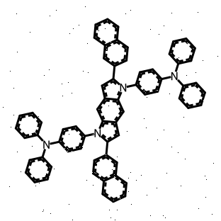 c1ccc(N(c2ccccc2)c2ccc(-n3c(-c4ccc5ccccc5c4)cc4cc5c(cc(-c6ccc7ccccc7c6)n5-c5ccc(N(c6ccccc6)c6ccccc6)cc5)cc43)cc2)cc1